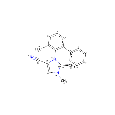 Cc1cccc(-c2ccccc2)c1N1C(C#N)=CN(C)[C@@H]1C